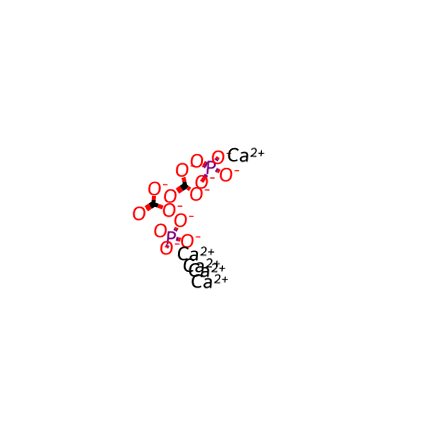 O=C([O-])[O-].O=C([O-])[O-].O=P([O-])([O-])[O-].O=P([O-])([O-])[O-].[Ca+2].[Ca+2].[Ca+2].[Ca+2].[Ca+2]